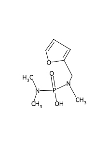 CN(C)P(=O)(O)N(C)Cc1ccco1